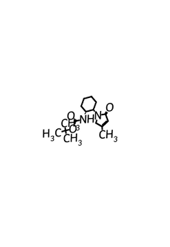 CC1=CC(=O)N([C@@H]2CCCC[C@H]2NC(=O)OC(C)(C)C)C1